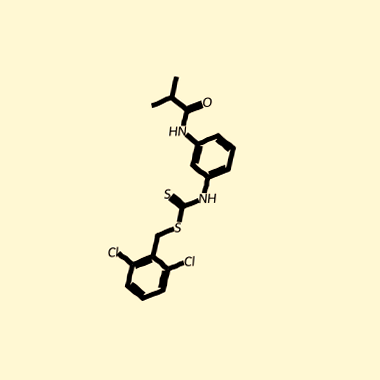 CC(C)C(=O)Nc1cccc(NC(=S)SCc2c(Cl)cccc2Cl)c1